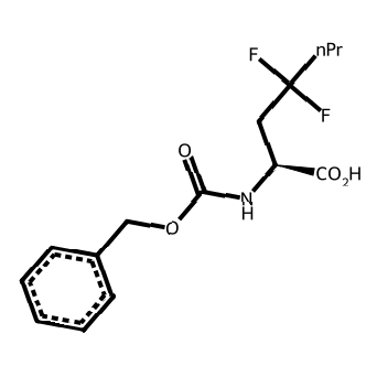 CCCC(F)(F)C[C@H](NC(=O)OCc1ccccc1)C(=O)O